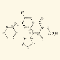 O=C(O)Cn1c(=O)c2cc(F)c(NC3CCCCC3)cc2n(C2CCCC2)c1=O